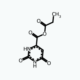 CCC(=O)OC(=O)c1cc(=O)[nH]c(=O)[nH]1